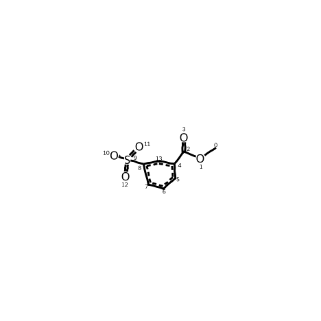 COC(=O)c1cccc(S([O])(=O)=O)c1